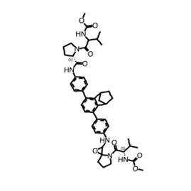 COC(=O)NC(C(=O)N1CCC[C@H]1C(=O)Nc1ccc(-c2ccc(-c3ccc(NC4OC45CCCN5C(=O)[C@@H](NC(=O)OC)C(C)C)cc3)c3c2C2CCC3C2)cc1)C(C)C